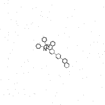 C1=CC(C2C=Cc3c(c4ccccc4n4c(-c5ccccc5)c(-c5ccccc5)nc34)C2)CC=C1c1ccc2c(c1)=CCCC=2